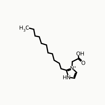 CCCCCCCCCCCc1[nH]cc[n+]1CC(=O)O